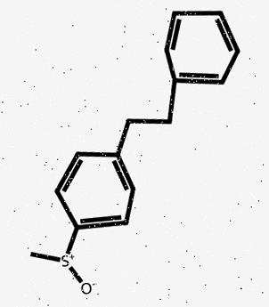 C[S+]([O-])c1ccc(CCc2ccccc2)cc1